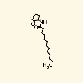 CCCCCCCCCCCCC(=O)N[C@H]1CCOC1=O